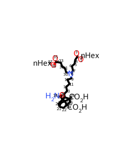 CCCCCCOC(=O)CCCCN(CCCCCCC1C2(C(N)=O)CC3CC(C(=O)O)(C2)CC1(C(=O)O)C3)CCCCC(=O)OCCCCCC